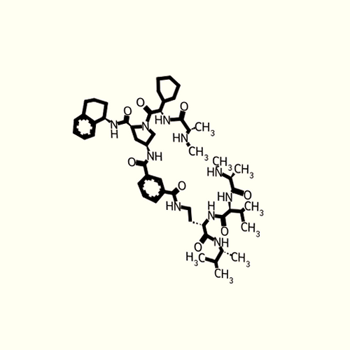 CN[C@@H](C)C(=O)N[C@H](C(=O)N[C@@H](CCNC(=O)c1cccc(C(=O)N[C@H]2C[C@@H](C(=O)N[C@@H]3CCCc4ccccc43)N(C(=O)[C@@H](NC(=O)[C@H](C)NC)C3CCCCC3)C2)c1)C(=O)N[C@H](C)C(C)C)C(C)C